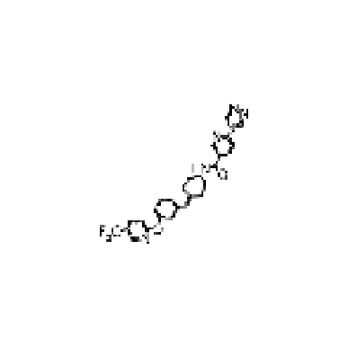 O=C(NC1CCC(=Cc2cccc(Oc3ccc(C(F)(F)F)cn3)c2)CC1)c1ccc(-n2cnnc2)nc1